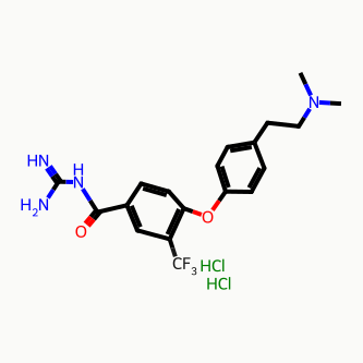 CN(C)CCc1ccc(Oc2ccc(C(=O)NC(=N)N)cc2C(F)(F)F)cc1.Cl.Cl